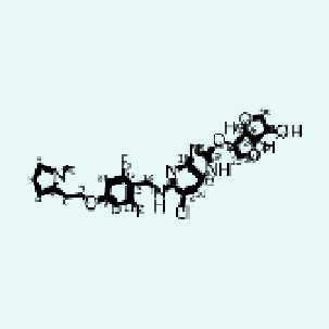 CN1CCCC1CCOc1cc(F)c(CNc2nc3nc(O[C@@H]4CO[C@H]5[C@@H]4OC[C@H]5O)[nH]c3cc2Cl)c(F)c1